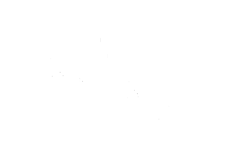 Cc1cc(-c2ccccn2)c2[nH]c3ccc(C4CN(CCS(C)(=O)=O)C4)cc3c2c1C